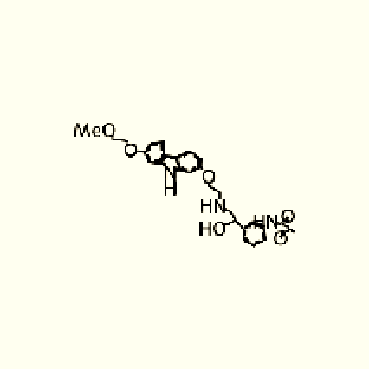 COCCOc1ccc2c(c1)[nH]c1cc(OCCNCC(O)c3cccc(NS(C)(=O)=O)c3)ccc12